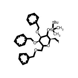 CC(C)(C)[Si](C)(C)OC1[C@@H](CI)OC(COCc2ccccc2)[C@@H](OCc2ccccc2)[C@H]1OCc1ccccc1